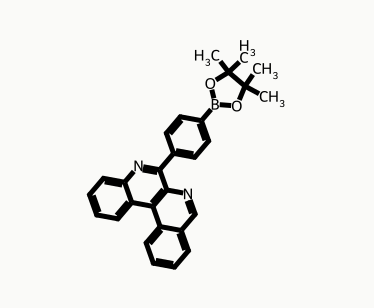 CC1(C)OB(c2ccc(-c3nc4ccccc4c4c3ncc3ccccc34)cc2)OC1(C)C